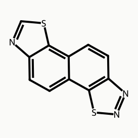 c1nc2ccc3c(ccc4nnsc43)c2s1